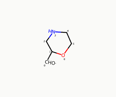 O=[C]C1CNCCO1